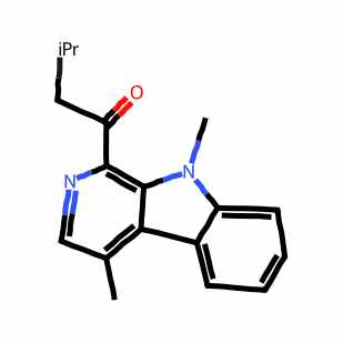 Cc1cnc(C(=O)CC(C)C)c2c1c1ccccc1n2C